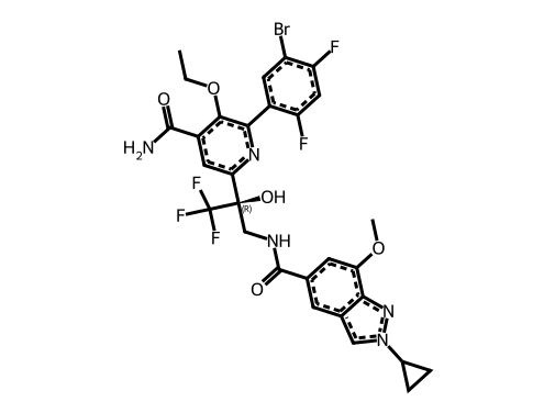 CCOc1c(C(N)=O)cc([C@](O)(CNC(=O)c2cc(OC)c3nn(C4CC4)cc3c2)C(F)(F)F)nc1-c1cc(Br)c(F)cc1F